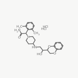 Cc1cccc(C)c1C(C(N)=O)N1CCC(NCC(O)C2COc3ccccc3O2)CC1.Cl.Cl